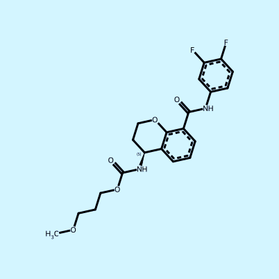 COCCCOC(=O)N[C@H]1CCOc2c(C(=O)Nc3ccc(F)c(F)c3)cccc21